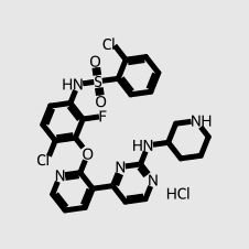 Cl.O=S(=O)(Nc1ccc(Cl)c(Oc2ncccc2-c2ccnc(NC3CCCNC3)n2)c1F)c1ccccc1Cl